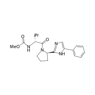 COC(=O)N[C@@H](C(=O)N1CCC[C@@H]1c1ncc(-c2ccccc2)[nH]1)C(C)C